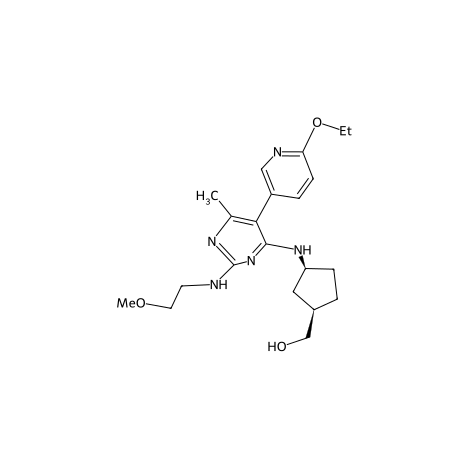 CCOc1ccc(-c2c(C)nc(NCCOC)nc2N[C@H]2CC[C@@H](CO)C2)cn1